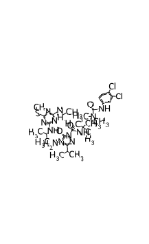 CC(C)c1nn(C(=O)NC(C)(C)C)c(=O)n1N.CCNc1nc(NC(C)C)nc(SC)n1.CN(C)C(=O)Nc1ccc(Cl)c(Cl)c1